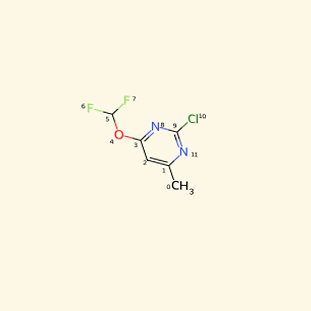 Cc1cc(OC(F)F)nc(Cl)n1